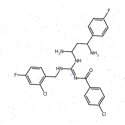 NC(CC(N)c1ccc(F)cc1)N/C(=N\C(=O)c1ccc(Cl)cc1)NCc1ccc(F)cc1Cl